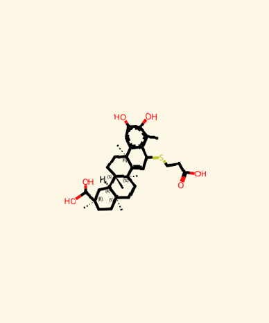 Cc1c(O)c(O)cc2c1C(SCCC(=O)O)C=C1[C@@]2(C)CC[C@@]2(C)[C@@H]3C[C@](C)(C(O)O)CC[C@]3(C)CC[C@]12C